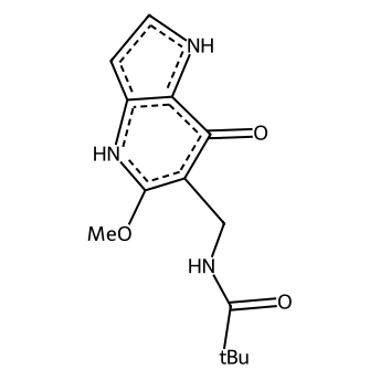 COc1[nH]c2cc[nH]c2c(=O)c1CNC(=O)C(C)(C)C